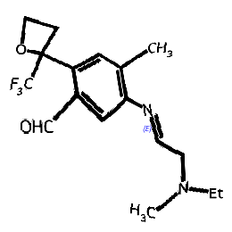 CCN(C)C/C=N/c1cc(C=O)c(C2(C(F)(F)F)CCO2)cc1C